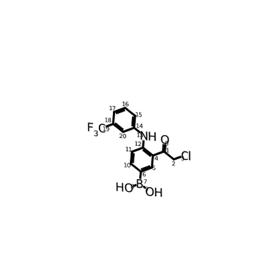 O=C(CCl)c1cc(B(O)O)ccc1Nc1cccc(C(F)(F)F)c1